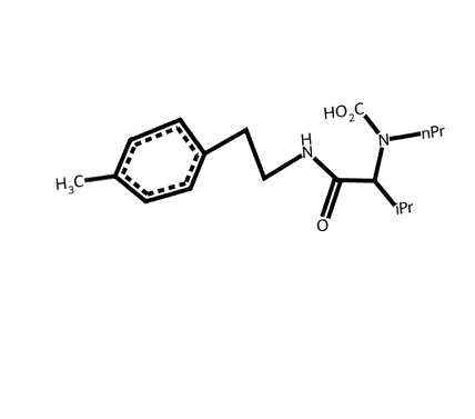 CCCN(C(=O)O)C(C(=O)NCCc1ccc(C)cc1)C(C)C